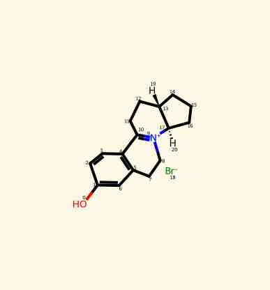 Oc1ccc2c(c1)CC[N+]1=C2CC[C@@H]2CCC[C@H]21.[Br-]